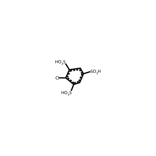 O=S(=O)(O)c1cc(S(=O)(=O)O)c(Cl)c(S(=O)(=O)O)c1